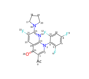 CC(=O)c1cn(-c2c(F)cc(F)cc2F)c2nc(N3CCCC3)c(F)cc2c1=O